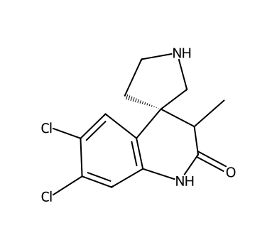 CC1C(=O)Nc2cc(Cl)c(Cl)cc2[C@]12CCNC2